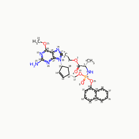 CCOC(=O)[C@H](C)NP(=O)(OC[C@@H]1C=C[C@H](n2cnc3c(OC)nc(N)nc32)C1)Oc1cccc2ccccc12